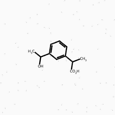 CC(O)c1cccc(C(C)C(=O)O)c1